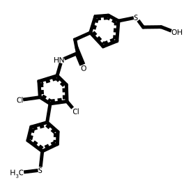 CSc1ccc(-c2c(Cl)cc(NC(=O)Cc3ccc(SCCO)cc3)cc2Cl)cc1